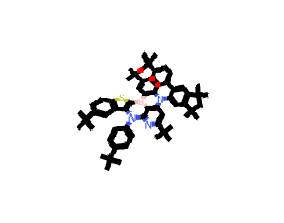 CC(C)(C)c1ccc(-c2cc3c(cc2N2c4ccc(C(C)(C)C)cc4B4c5sc6ccc(C(C)(C)C)cc6c5N(c5ccc(C(C)(C)C)cc5)c5nc(C(C)(C)C)cc2c54)C(C)(C)CC3(C)C)cc1